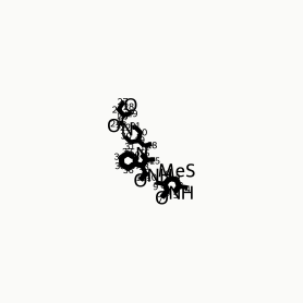 CSc1cc(C)[nH]c(=O)c1CNC(=O)c1c(C)n(C(C)C2CCN(C(=O)[C@H]3CCOC3)CC2)c2ccccc12